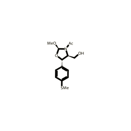 CO[C@@H]1O[C@@H](c2ccc(SC)cc2)[C@H](CO)N1C(C)=O